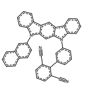 N#Cc1cccc(C#N)c1-c1cccc(-n2c3ccccc3c3cc4c5ccccc5n(-c5ccc6ccccc6c5)c4cc32)c1